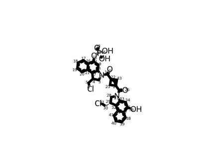 O=C(N1CC(CCl)c2c1cc(OP(=O)(O)O)c1ccccc21)C12CC(C(=O)N3C[C@@H](CCl)c4c3cc(O)c3ccccc43)(C1)C2